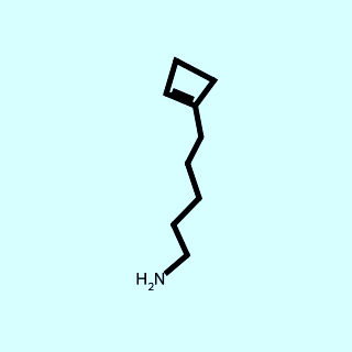 NCCCCCC1=CCC1